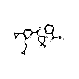 NC(=O)c1ccccc1[C@@H]1CC(F)(F)CN1C(=O)c1ccc(C2CC2)c(OCC2CC2)n1